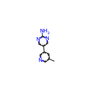 Cc1cncc(-c2cnc(N)nc2)c1